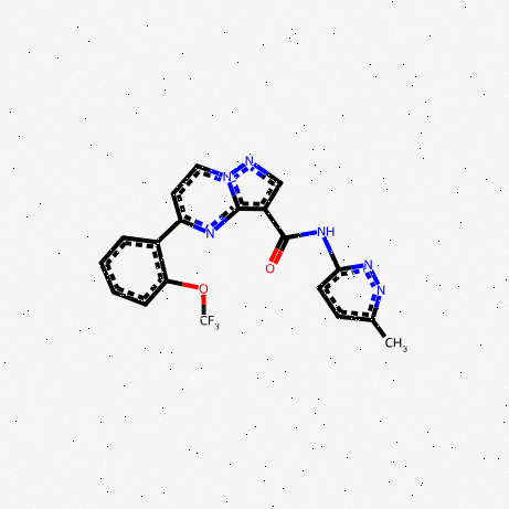 Cc1ccc(NC(=O)c2cnn3ccc(-c4ccccc4OC(F)(F)F)nc23)nn1